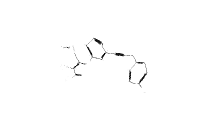 NN/C(Oc1cccc(C#CCc2ccc(F)cc2)c1)=C(\N)C(=O)O